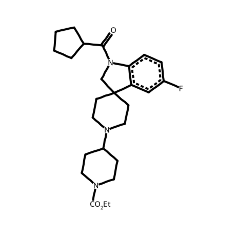 CCOC(=O)N1CCC(N2CCC3(CC2)CN(C(=O)C2CCCC2)c2ccc(F)cc23)CC1